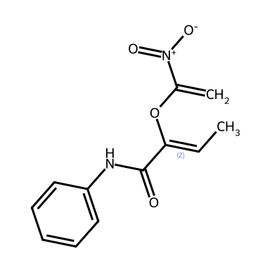 C=C(O/C(=C\C)C(=O)Nc1ccccc1)[N+](=O)[O-]